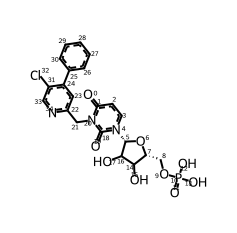 O=c1ccn([C@@H]2O[C@H](COP(=O)(O)O)C(O)C2O)c(=O)n1Cc1cc(-c2ccccc2)c(Cl)cn1